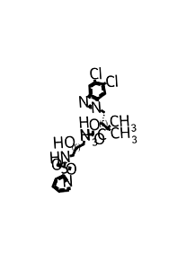 CC(C)(C)[C@@H](Cn1cnc2cc(Cl)c(Cl)cc21)OC(=O)NC[C@H](O)CNS(=O)(=O)c1ccccn1